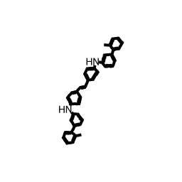 Cc1ccccc1-c1cccc(Nc2ccc(C=Cc3ccc(Nc4cccc(-c5ccccc5C)c4)cc3)cc2)c1